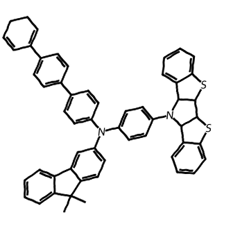 CC1(C)c2ccccc2-c2cc(N(c3ccc(-c4ccc(C5=CCCC=C5)cc4)cc3)c3ccc(N4C5c6ccccc6SC5C5Sc6ccccc6C54)cc3)ccc21